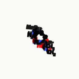 C=CC(=O)N1CCC(O)(C(=O)N(C)[C@H](C(=O)N[C@H]2Cc3cccc(c3)-c3ccc4c(c3)c(c(-c3cnccc3COC)n4CC)CC(C)(C)COC(=O)[C@@H]3CCCN(N3)C2=O)C(C)C)C1